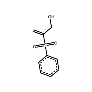 C=C(CO)S(=O)(=O)c1ccccc1